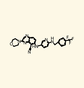 N#Cc1c(Nc2ccc(NCc3ccc(C(F)(F)F)cc3)nc2)ccc2ncc(N3CCOCC3)nc12